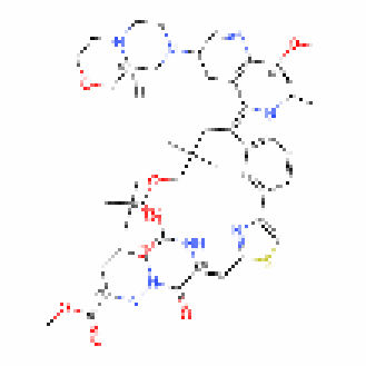 CCn1c(C2=C([C@H](C)OC)N=CC(N3CCN4CCOC[C@@H]4C3)C2)c(CC(C)(C)COC(C)=O)c2cc(-c3csc(C[C@H](NC(=O)OC(C)(C)C)C(=O)N4CCC[C@@H](C(=O)OC)N4)n3)ccc21